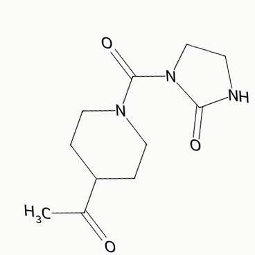 CC(=O)C1CCN(C(=O)N2CCNC2=O)CC1